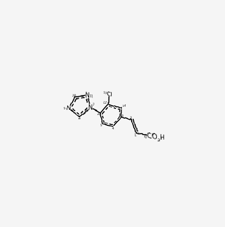 O=C(O)/C=C/c1ccc(-n2cncn2)c(Cl)c1